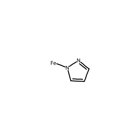 [Fe][n]1cccn1